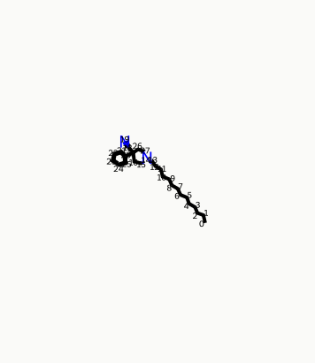 CCCCCCCCCCCCCCN1CCC(C#N)(c2ccccc2)CC1